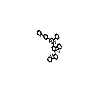 c1ccc(-c2cc(-c3ccc(-c4ccccn4)cc3)nc(-c3ccc(-c4cccc5c4oc4ccccc45)c4oc5ccccc5c34)n2)cc1